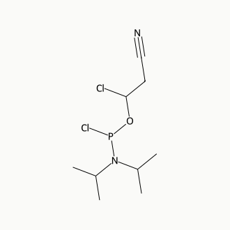 CC(C)N(C(C)C)P(Cl)OC(Cl)CC#N